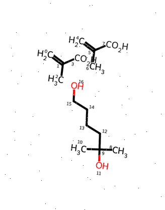 C=C(C)C(=O)O.C=C(C)C(=O)O.CC(C)(O)CCCCO